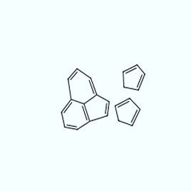 C1=CCC=C1.C1=CCC=C1.C1=Cc2cccc3cccc1c23